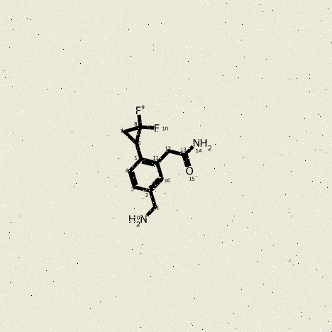 NCc1ccc(C2CC2(F)F)c(CC(N)=O)c1